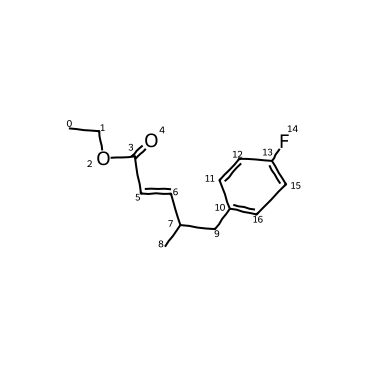 CCOC(=O)C=CC(C)Cc1ccc(F)cc1